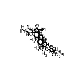 CC(C)C(=O)N(C)C[C@H](O)[C@@]12CC[C@]3(C)[C@H](CC[C@@H]4[C@@]5(C)CC[C@H](OC(=O)CC(C)(C)C(=O)O)C(C)(C)[C@@H]5CC[C@]43C)C1=C(C(C)C)C(=O)C2